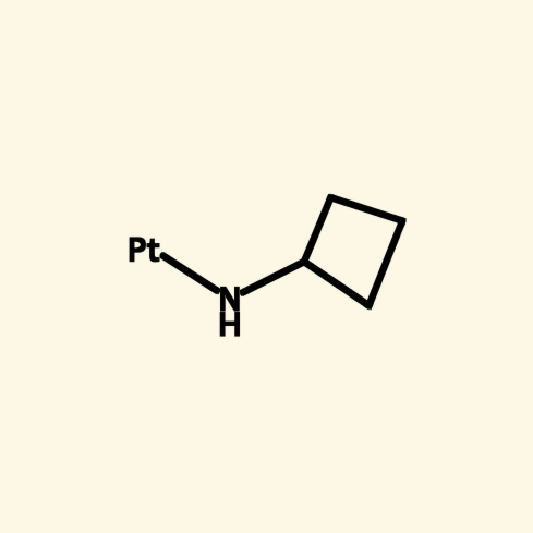 [Pt][NH]C1CCC1